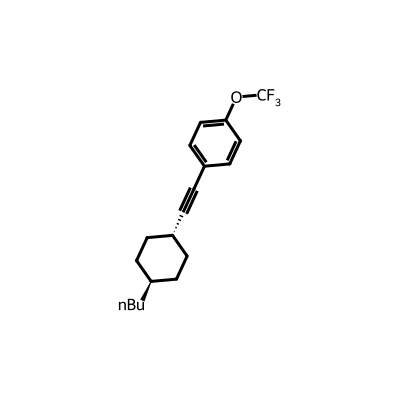 CCCC[C@H]1CC[C@H](C#Cc2ccc(OC(F)(F)F)cc2)CC1